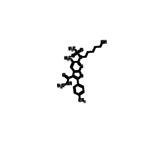 CNC(=O)c1c(-c2ccc(C)cc2)oc2nc(N(CCCCCO)S(C)(=O)=O)c(C)cc12